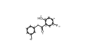 O=C(Cc1cccc(F)c1)c1cc(F)ccc1O